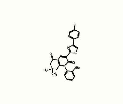 CC1(C)CC(=O)c2cc(-c3nc(-c4ccc(Cl)cc4)cs3)c(=O)n(-c3ccccc3C(C)(C)C)c2C1